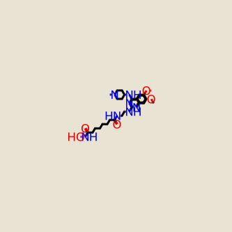 COc1cc2nc(NCCNC(=O)CCCCCCC(=O)NO)nc(NC3CCN(C)CC3)c2cc1OC